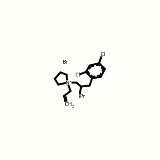 C=CC[N+]1(CC(Cc2ccc(Cl)cc2Cl)C(C)C)CCCC1.[Br-]